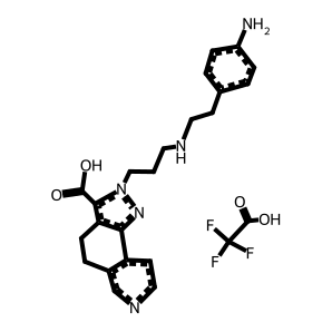 Nc1ccc(CCNCCCn2nc3c(c2C(=O)O)CCc2cnccc2-3)cc1.O=C(O)C(F)(F)F